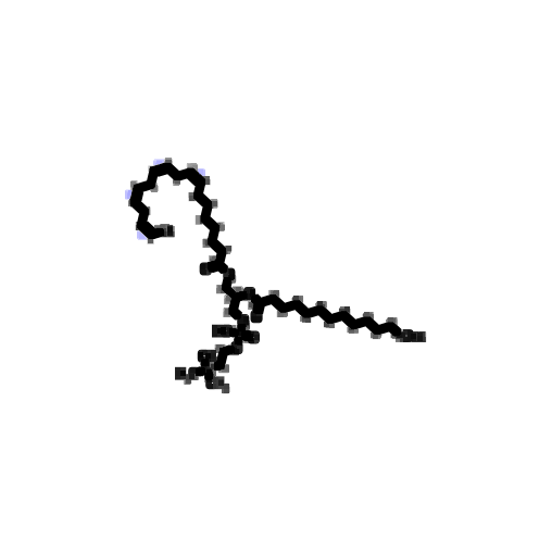 CC/C=C\C/C=C\C/C=C\C/C=C\CCCCCCC(=O)OC[C@H](COP(=O)(O)OCC[N+](C)(C)C)OC(=O)CCCCCCCCCCCCCCCCCCCCC